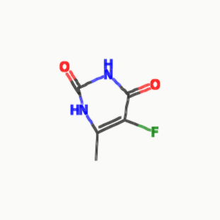 Cc1[nH]c(=O)[nH]c(=O)c1F